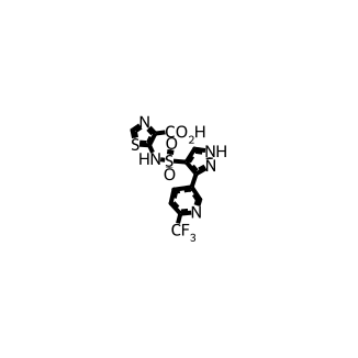 O=C(O)c1ncsc1NS(=O)(=O)c1c[nH]nc1-c1ccc(C(F)(F)F)nc1